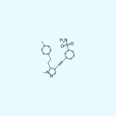 Cc1ccc(CCc2c(C#Cc3cccc(S(N)(=O)=O)c3)cnn2C)cc1